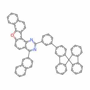 c1cc(-c2ccc3c(c2)-c2ccccc2C32c3ccccc3-c3ccccc32)cc(-c2nc(-c3ccc4ccccc4c3)c3ccc4oc5c6ccccc6ccc5c4c3n2)c1